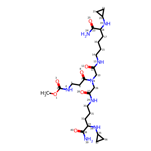 COC(=O)NCCC(=O)N(CC(=O)NCCCCC(NC1CC1)C(N)=O)CC(=O)NCCCC(NC1CC1)C(N)=O